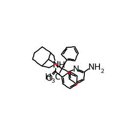 CC(c1ccccc1)(c1cccc(N)n1)N1CC2CCCC(C1)C2NC(=O)c1ccccc1